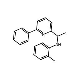 Cc1ccccc1NC(C)c1cccc(-c2ccccc2)n1